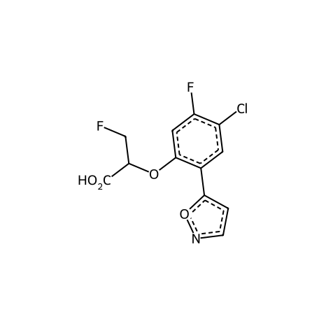 O=C(O)C(CF)Oc1cc(F)c(Cl)cc1-c1ccno1